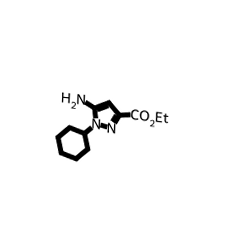 CCOC(=O)c1cc(N)n(C2CCCCC2)n1